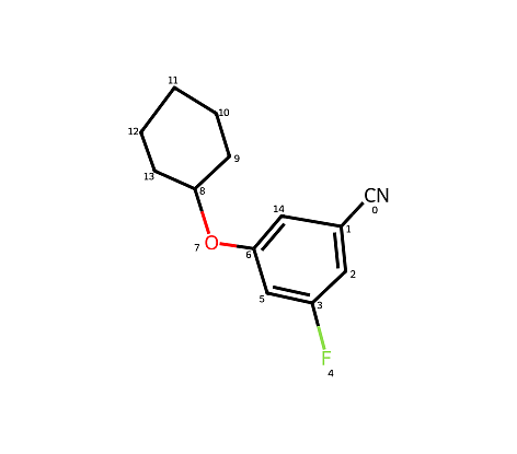 N#Cc1cc(F)cc(OC2CCCCC2)c1